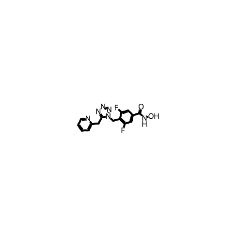 O=C(NO)c1cc(F)c(Cn2nnnc2Cc2ccccn2)c(F)c1